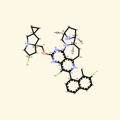 Cc1c(F)ccc2cccc(-c3nc4c5c(nc(OC[C@@]67C[C@@H](F)CN6CC6(CC6)C7)nc5c3F)N3C[C@H]5CC[C@H](N5)[C@H]3CC4)c12